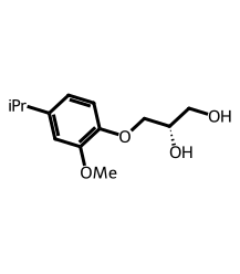 COc1cc(C(C)C)ccc1OC[C@@H](O)CO